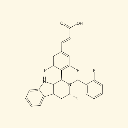 C[C@@H]1Cc2c([nH]c3ccccc23)[C@@H](c2c(F)cc(/C=C/C(=O)O)cc2F)N1Cc1ccccc1F